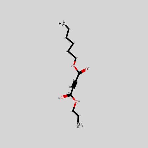 CCCCCCOC(=O)C#CC(=O)OCCC